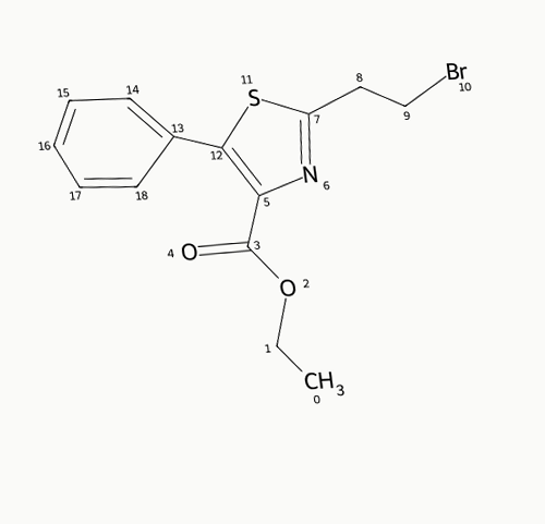 CCOC(=O)c1nc(CCBr)sc1-c1ccccc1